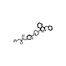 CC(C)CC(=O)NCc1ccc(N2CCN(c3nnc(Cc4ccccc4)c4ccccc34)CC2)nc1